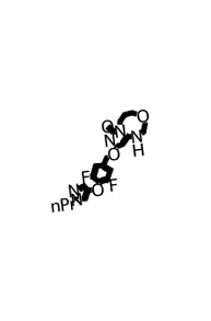 CCCn1cc(Oc2c(F)cc(COc3cc4n(c(=O)n3)CCCOCCN4)cc2F)cn1